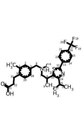 Cc1cc(CN(C)CC(C)c2sc(-c3ccc(C(F)(F)F)cc3)nc2C(C)C)ccc1CCC(=O)O